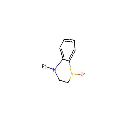 CCN1CC[S+]([O-])c2ccccc21